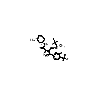 C[C@H](NCc1c(C(=O)N[C@H]2CCC[C@@H](O)C2)noc1-c1ccc(C(F)(F)F)c(F)c1)C(F)(F)F